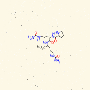 NC(=O)NCCC[C@H](NC(=O)[C@H](CCCNC(N)=O)NC(=O)[C@@H]1CCCN1)C(=O)O